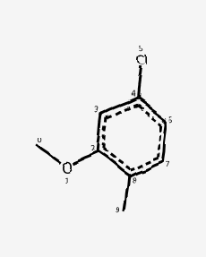 COc1cc(Cl)[c]cc1C